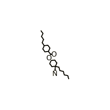 CCCCCCC1(C#N)CCC(OC(=O)C2CCC(CCCCC)CC2)CC1